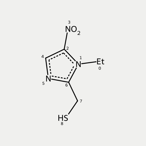 CCn1c([N+](=O)[O-])cnc1CS